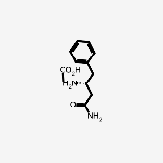 CC(=O)O.NC(=O)C[C@H](N)Cc1ccccc1